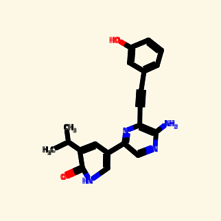 CC(C)c1cc(-c2cnc(N)c(C#Cc3cccc(O)c3)n2)c[nH]c1=O